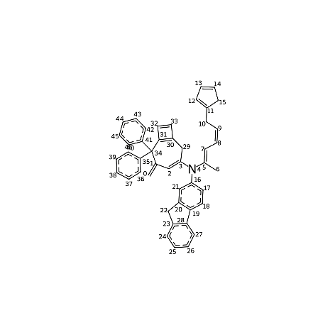 C=C1C=C(N(/C(C)=C/C=C\CC2=CC=CC2)c2ccc3c(c2)Cc2ccccc2-3)CC2=C(C=C2)C1(c1ccccc1)c1ccccc1